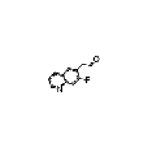 O=[C]Cc1cc2cccnc2cc1F